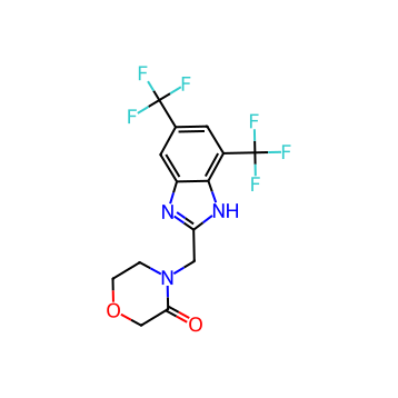 O=C1COCCN1Cc1nc2cc(C(F)(F)F)cc(C(F)(F)F)c2[nH]1